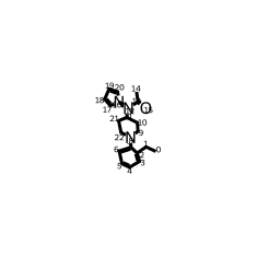 CCc1ccccc1N1CCC(N(C(C)=O)n2cccc2)CC1